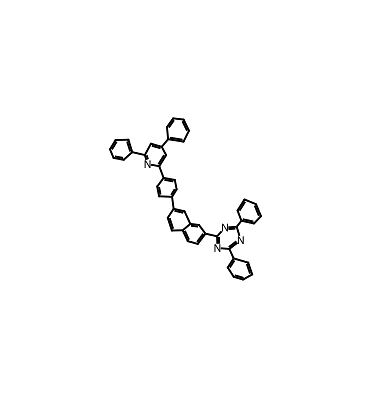 c1ccc(-c2cc(-c3ccccc3)nc(-c3ccc(-c4ccc5ccc(-c6nc(-c7ccccc7)nc(-c7ccccc7)n6)cc5c4)cc3)c2)cc1